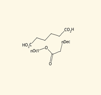 CCCCCCCCCCCC(=O)OCCCCCCCC.O=C(O)CCCCC(=O)O